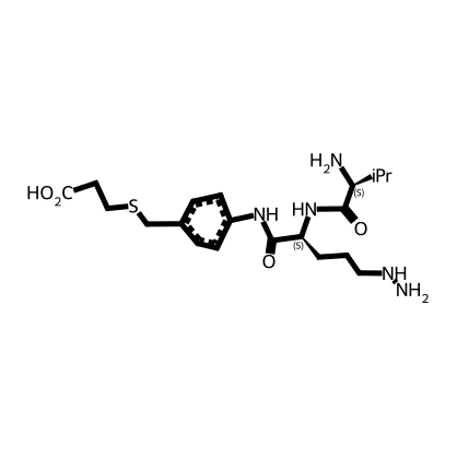 CC(C)[C@H](N)C(=O)N[C@@H](CCCNN)C(=O)Nc1ccc(CSCCC(=O)O)cc1